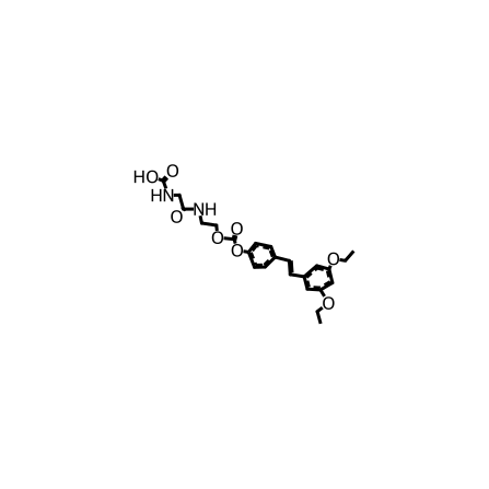 CCOc1cc(C=Cc2ccc(OC(=O)OCCNC(=O)CNC(=O)O)cc2)cc(OCC)c1